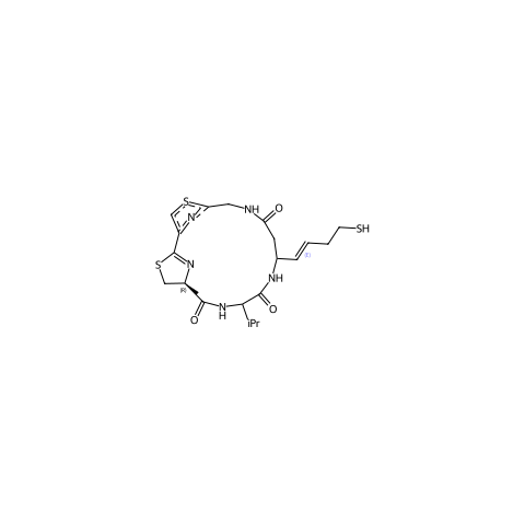 CC(C)C1NC(=O)[C@]2(C)CSC(=N2)c2csc(n2)CNC(=O)CC(/C=C/CCS)NC1=O